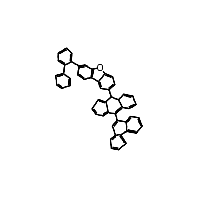 C1=CC2=C(c3cc4ccccc4c4ccccc34)c3ccccc3C(c3ccc4oc5cc(-c6ccccc6-c6ccccc6)ccc5c4c3)C2C=C1